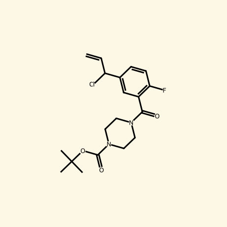 C=CC(Cl)c1ccc(F)c(C(=O)N2CCN(C(=O)OC(C)(C)C)CC2)c1